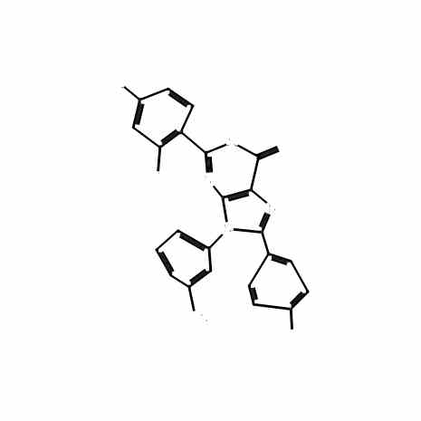 N#Cc1cccc(-n2c(-c3ccc(Cl)cc3)nc3c(=O)[nH]c(-c4ccc(Cl)cc4Cl)nc32)c1